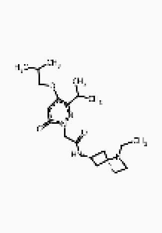 CCN1CC[C@]12C[C@H](NC(=O)Cn1nc(C(C)C)c(OCC(C)C)cc1=O)C2